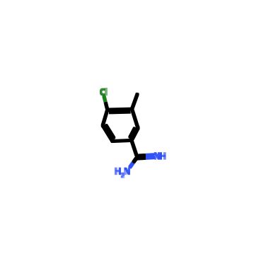 Cc1cc(C(=N)N)ccc1Cl